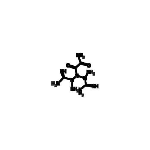 N=C(N)N(N)N(C(=O)C(N)=O)N(N)C(=N)N